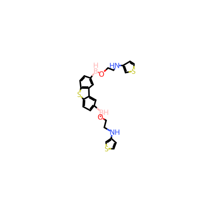 B(OCCNc1ccsc1)c1ccc2sc3ccc(BOCCNc4ccsc4)cc3c2c1